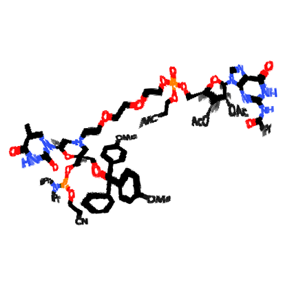 COc1ccc(C(OC[C@]2(COP(OCCC#N)N(C(C)C)C(C)C)CN(CCOCCOCCOP(=O)(OCCC#N)OC[C@H]3O[C@@H](n4cnc5c(=O)[nH]c(NC(=O)C(C)C)nc54)[C@H](OC(C)=O)[C@@H]3OC(C)=O)C[C@H](n3cc(C)c(=O)[nH]c3=O)O2)(c2ccccc2)c2ccc(OC)cc2)cc1